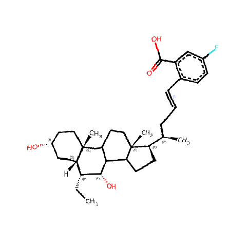 CC[C@H]1[C@@H](O)C2C3CC[C@H]([C@H](C)C/C=C/c4ccc(F)cc4C(=O)O)[C@@]3(C)CCC2[C@@]2(C)CC[C@@H](O)C[C@@H]12